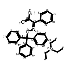 CCN(CC)CC.O=C(O)C(=NOC(c1ccccc1)(c1ccccc1)c1ccccc1)c1ccccc1